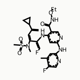 C=C(/C=C(\C(=C/F)Nc1cc(Nc2cc(C)c(F)cn2)ncc1C(=O)NOCC)N(C)S(C)(=O)=O)C1CC1